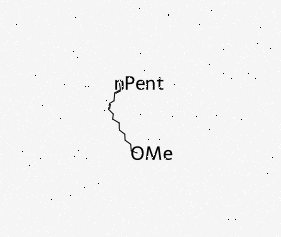 [CH2]OCCCCCCCC/C=C\CC=CCCCCC